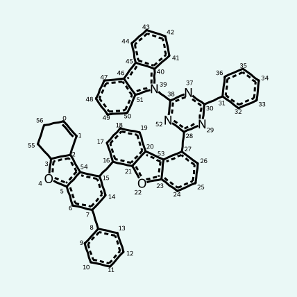 C1=Cc2c(oc3cc(-c4ccccc4)cc(-c4cccc5c4oc4cccc(-c6nc(-c7ccccc7)nc(-n7c8ccccc8c8ccccc87)n6)c45)c23)CC1